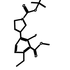 CCc1ccc(C2CCN(C(=O)OC(C)(C)C)C2)c(F)c1C(=O)OC